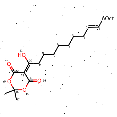 CCCCCCCCC=CCCCCCCCC(O)=C1C(=O)OC(C)(C)OC1=O